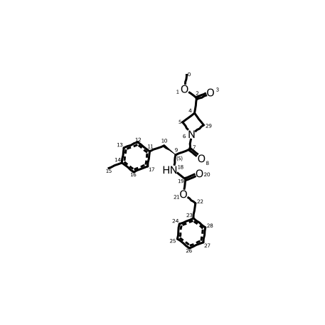 COC(=O)C1CN(C(=O)[C@H](Cc2ccc(C)cc2)NC(=O)OCc2ccccc2)C1